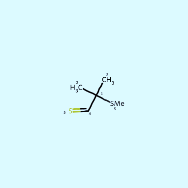 CSC(C)(C)C=S